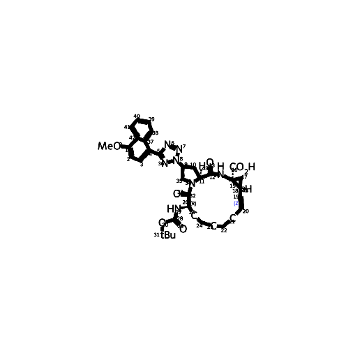 COc1ccc(-c2nnn(C3C[C@H]4C(=O)N[C@@]5(C(=O)O)C[C@H]5/C=C\CCCCC[C@@H](NC(=O)OC(C)(C)C)C(=O)N4C3)n2)c2ccccc12